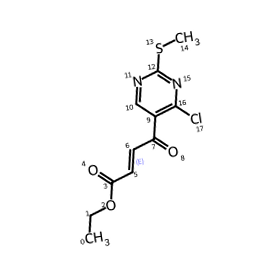 CCOC(=O)/C=C/C(=O)c1cnc(SC)nc1Cl